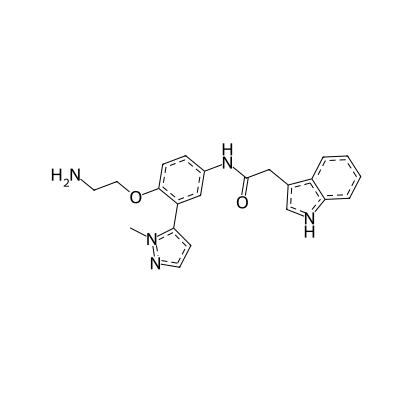 Cn1nccc1-c1cc(NC(=O)Cc2c[nH]c3ccccc23)ccc1OCCN